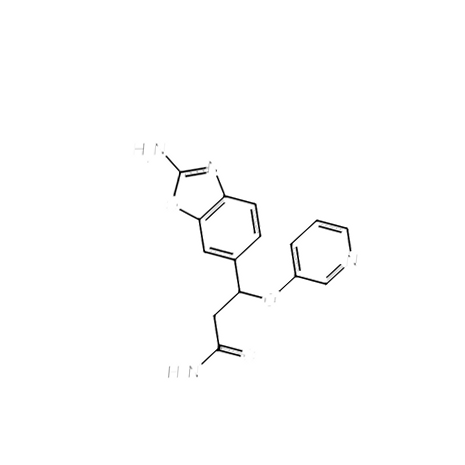 NC(=O)CC(Oc1cccnc1)c1ccc2nc(N)oc2c1